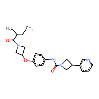 CCC(C)C(=O)N1CC(Oc2ccc(NC(=O)N3CC(c4cccnc4)C3)cc2)C1